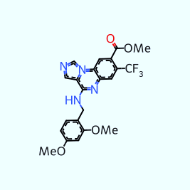 COC(=O)c1cc2c(cc1C(F)(F)F)nc(NCc1ccc(OC)cc1OC)c1cncn12